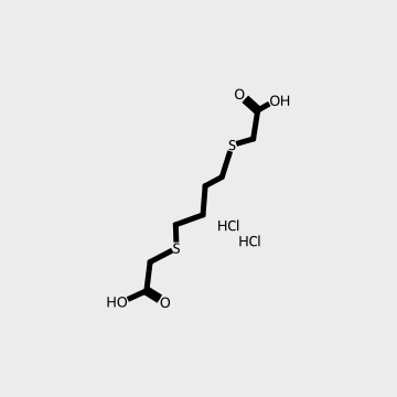 Cl.Cl.O=C(O)CSCCCCSCC(=O)O